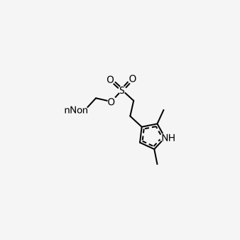 CCCCCCCCCCOS(=O)(=O)CCc1cc(C)[nH]c1C